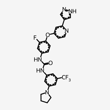 O=C(Nc1cc(N2CCCC2)cc(C(F)(F)F)c1)Nc1ccc(Oc2ccnc(-c3cn[nH]c3)c2)c(F)c1